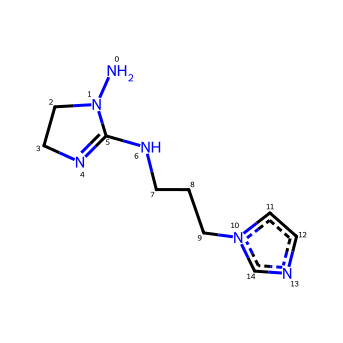 NN1CCN=C1NCCCn1ccnc1